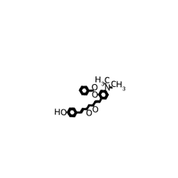 CCN(CC)c1ccc(C=CC(=O)CC(=O)C=Cc2ccc(O)cc2)c(OC(=O)c2ccccc2)c1